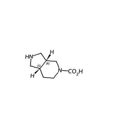 O=C(O)N1CC[C@@H]2CNC[C@@H]2C1